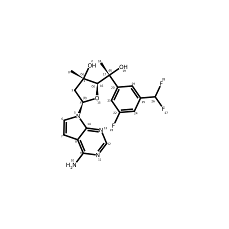 C[C@]1(O)C[C@H](n2ccc3c(N)ncnc32)O[C@@H]1[C@](C)(O)c1cc(F)cc(C(F)F)c1